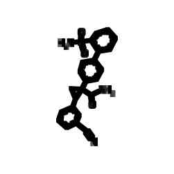 N#Cc1cccc(C2CC2(C(N)=O)c2ccc(-c3ccccc3S(N)(=O)=O)cc2)c1